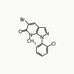 Cn1c(=O)c(Br)cc2cnn(-c3ccccc3Cl)c21